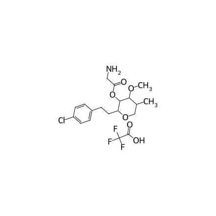 COC1C(C)COC(CCc2ccc(Cl)cc2)C1OC(=O)CN.O=C(O)C(F)(F)F